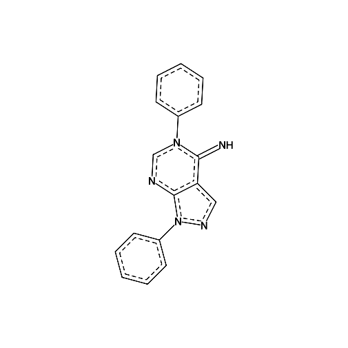 N=c1c2cnn(-c3ccccc3)c2ncn1-c1ccccc1